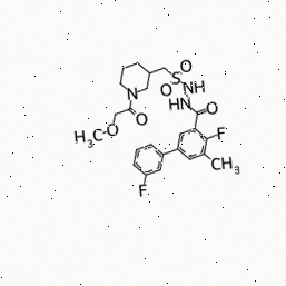 COCC(=O)N1CCCC(CS(=O)(=O)NNC(=O)c2cc(-c3cccc(F)c3)cc(C)c2F)C1